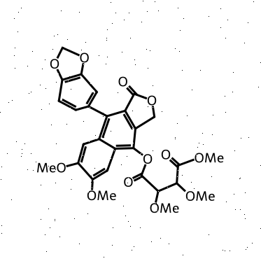 COC(=O)C(OC)C(OC)C(=O)Oc1c2c(c(-c3ccc4c(c3)OCO4)c3cc(OC)c(OC)cc13)C(=O)OC2